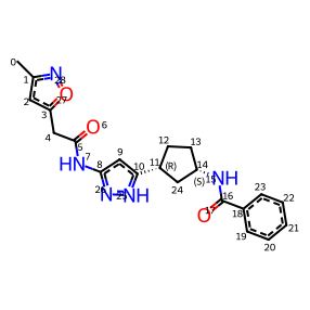 Cc1cc(CC(=O)Nc2cc([C@@H]3CC[C@H](NC(=O)c4ccccc4)C3)[nH]n2)on1